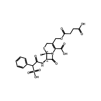 O=C(O)CCC(=O)OCC1=C(C(=O)O)N2C(=O)[C@@H](NC(=O)C(c3ccccc3)S(=O)(=O)O)[C@@H]2SC1